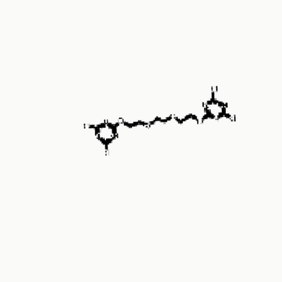 Clc1nc(Cl)nc(OCCOCCOCCOc2nc(Cl)nc(Cl)n2)n1